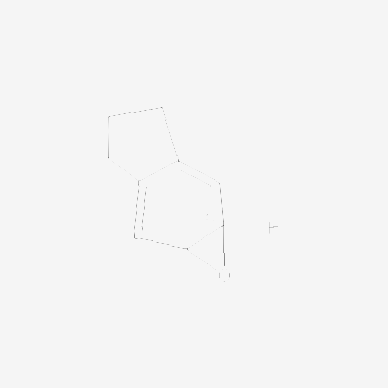 C1=C2CCCC2=C[C@H]2OC12